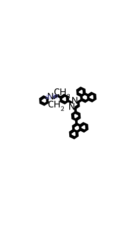 C=C1C=CC=C/C1=N/C=C(\C)c1ccc(-c2nc(-c3ccc(-c4cc5ccccc5c5ccccc45)cc3)cc(-c3cc4ccccc4c4ccccc34)n2)cc1